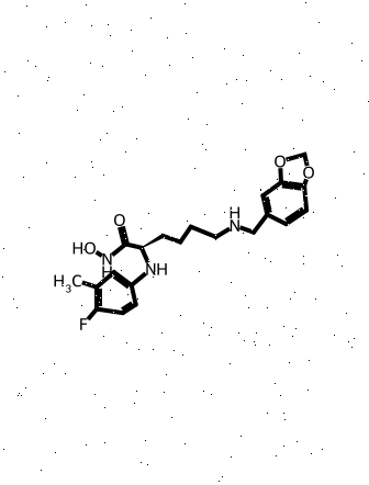 Cc1cc(N[C@H](CCCCNCc2ccc3c(c2)OCO3)C(=O)NO)ccc1F